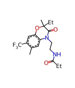 CCC(=O)NCCN1C(=O)C(C)(CC)Oc2cc(C(F)(F)F)c(C)cc21